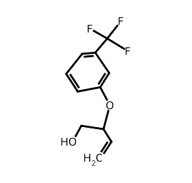 C=CC(CO)Oc1cccc(C(F)(F)F)c1